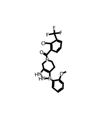 COc1ccccc1N1NNC2=C1CCN(C(=O)c1cccc(C(F)(F)F)c1Cl)C2